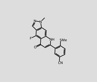 CSc1ccc(C#N)cc1-c1cc(=O)c2c(F)c3cnn(C)c3cc2[nH]1